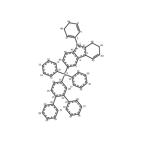 C1=CC(n2c3c(c4cc(S(c5ccccc5)(c5ccccc5)c5ccc(-c6ccccc6)c(-c6ccccc6)c5)ccc42)C=CCC3)=CCC1